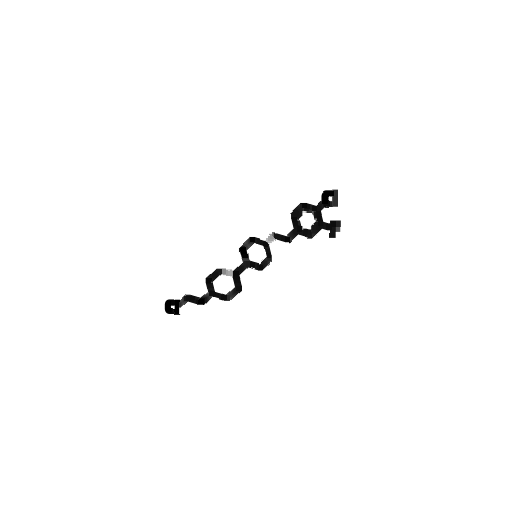 Fc1cc(CC[C@H]2CC[C@H]([C@H]3CC[C@H](/C=C/Cl)CC3)CC2)ccc1Cl